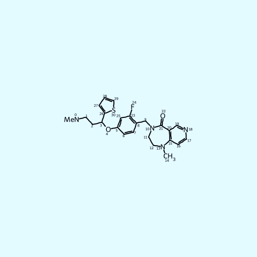 CNCCC(Oc1ccc(CN2CCN(C)c3ccncc3C2=O)c(F)c1)c1cccs1